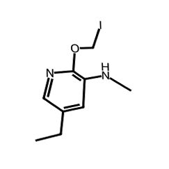 CCc1cnc(OCI)c(NC)c1